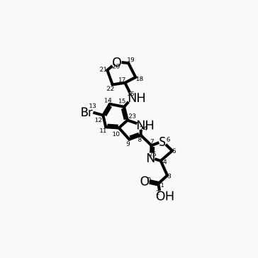 O=C(O)CC1CSC(c2cc3cc(Br)cc(NC4CCOCC4)c3[nH]2)=N1